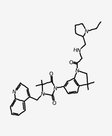 CCN1CCCC1CNCC(=O)N1CC(C)(C)c2ccc(N3C(=O)N(Cc4ccnc5ccccc45)C(C)(C)C3=O)cc21